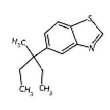 CCC(C)(CC)c1ccc2scnc2c1